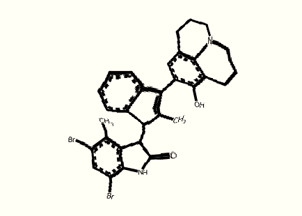 CC1=C(c2cc3c4c(c2O)CCCN4CCC3)c2ccccc2C1C1C(=O)Nc2c(Br)cc(Br)c(C)c21